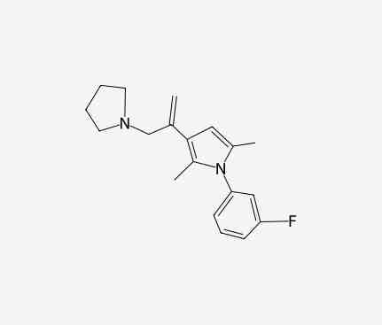 C=C(CN1CCCC1)c1cc(C)n(-c2cccc(F)c2)c1C